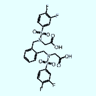 O=C(O)CN(Cc1ccccc1CN(CC(=O)O)S(=O)(=O)c1ccc(F)c(F)c1)S(=O)(=O)c1ccc(F)c(F)c1